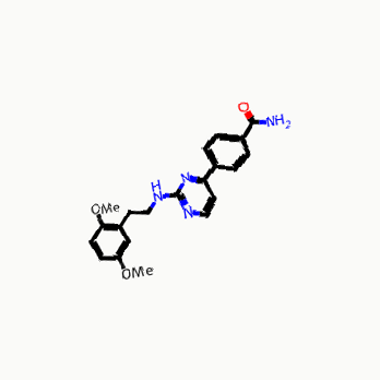 COc1ccc(OC)c(CCNc2nccc(-c3ccc(C(N)=O)cc3)n2)c1